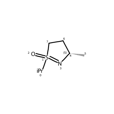 CC(C)S1(=O)=N[C@@H](C)CC1